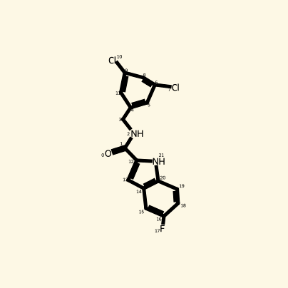 O=C(NCc1cc(Cl)cc(Cl)c1)c1cc2cc(F)ccc2[nH]1